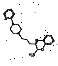 NC1Oc2ccccc2N=C1CCCN1CCN(c2ccccn2)CC1